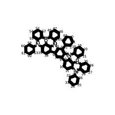 c1ccc(-c2c3c(cc4c5ccc6c7c5n(c24)-c2ccccc2B7c2ccccc2N6c2ccccc2)c2ccc4c5c2n3-c2ccccc2B5c2ccccc2N4c2ccccc2)cc1